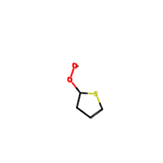 [O]OC1CCCS1